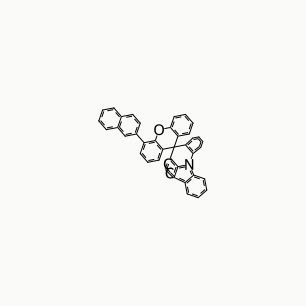 c1ccc2c(c1)Oc1c(-c3ccc4ccccc4c3)cccc1C21c2ccccc2-n2c3ccccc3c3cccc1c32